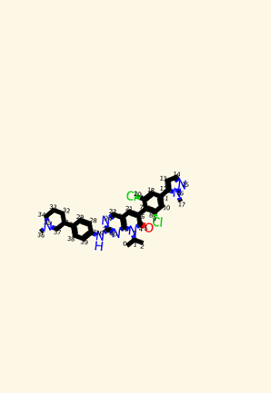 CC(C)n1c(=O)c(-c2c(Cl)cc(-c3ccnn3C)cc2Cl)cc2cnc(Nc3ccc(C4CCCN(C)C4)cc3)nc21